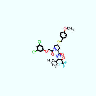 COc1ccc(CS[C@@H]2C[C@@H](C(=O)N[C@@H](C(=O)C(F)(F)F)C(C)C)N(C(=O)COc3cc(Cl)cc(Cl)c3)C2)cc1